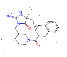 CC(C)CC1(C)NC(=N)N(CC2CCCN(C(=O)C3CCc4ccccc4C3)C2)C1=O